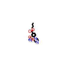 CCCCOC(=O)c1ccc(N2CCN(C)CC2)c(S(=O)(=O)N(C)C)c1